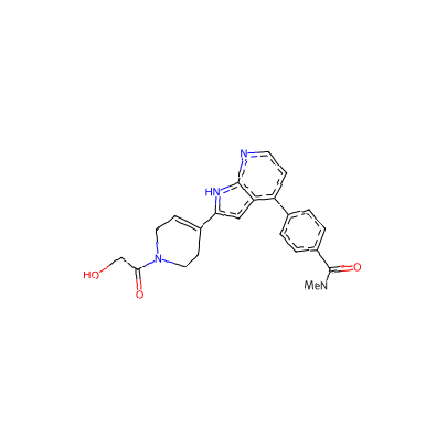 CNC(=O)c1ccc(-c2ccnc3[nH]c(C4=CCN(C(=O)CO)CC4)cc23)cc1